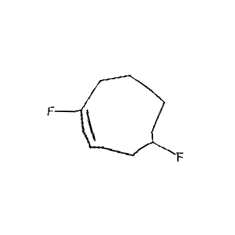 FC1=CCC(F)CCC1